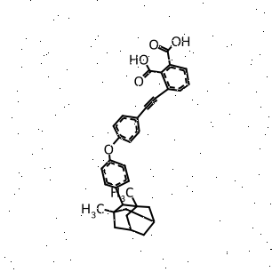 CC12CC3CC(C1)CC(C)(C3)C2c1ccc(Oc2ccc(C#Cc3cccc(C(=O)O)c3C(=O)O)cc2)cc1